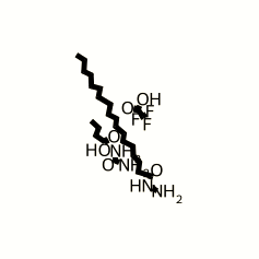 CCCC(=O)O.CCCCCCCCCCCCCCCCCC(=O)NN.NC(N)=O.O=C(O)C(F)(F)F